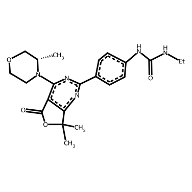 CCNC(=O)Nc1ccc(-c2nc(N3CCOC[C@@H]3C)c3c(n2)C(C)(C)OC3=O)cc1